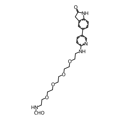 O=CNCCOCCOCCOCCOCCNc1ccc(-c2ccc3c(c2)CC(=O)N3)cn1